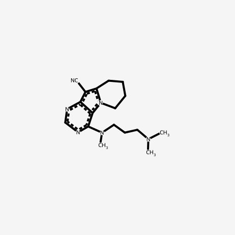 CN(C)CCCN(C)c1ncnc2c(C#N)c3n(c12)CCCC3